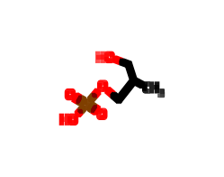 CC(CO)COS(=O)(=O)O